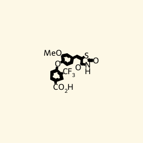 COc1cc(C=C2SC(=O)NC2=O)ccc1Oc1ccc(C(=O)O)cc1C(F)(F)F